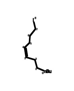 CCCCCC/C=C\CCCI